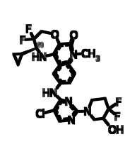 Cn1c(=O)c2c(c3cc(Nc4nc(N5CCC(F)(F)C(O)C5)ncc4Cl)ccc31)N[C@@H](C1CC1)C(F)(F)CO2